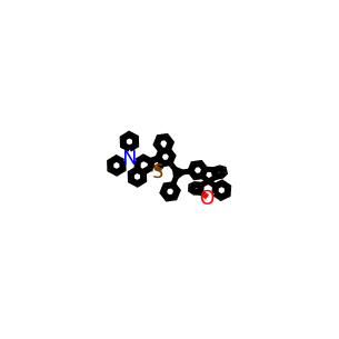 c1ccc(C2C(c3ccc4c(c3)C3(c5ccccc5Oc5ccccc53)c3ccccc3-4)C2c2cc3ccccc3c3c2sc2c4ccccc4c(N(c4ccccc4)c4ccccc4)cc23)cc1